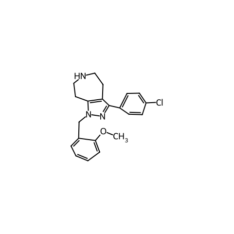 COc1ccccc1Cn1nc(-c2ccc(Cl)cc2)c2c1CCNCC2